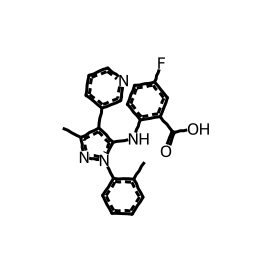 Cc1ccccc1-n1nc(C)c(-c2cccnc2)c1Nc1ccc(F)cc1C(=O)O